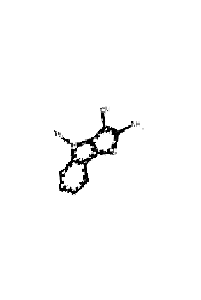 CCn1c2ccccc2c2sc(N)c(C#N)c21